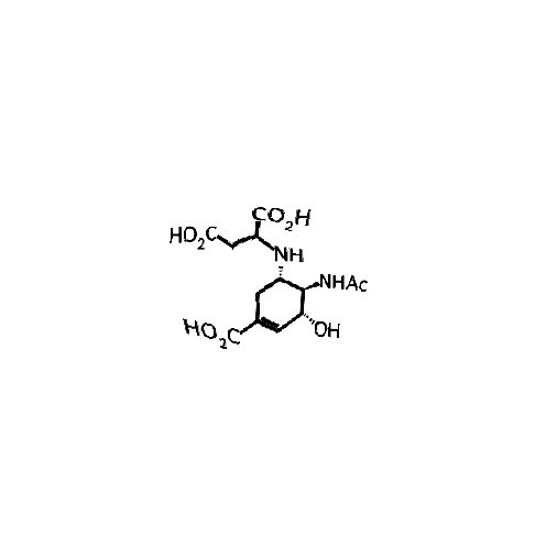 CC(=O)N[C@H]1[C@H](O)C=C(C(=O)O)C[C@@H]1NC(CC(=O)O)C(=O)O